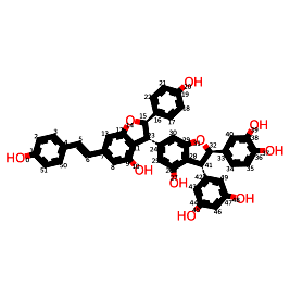 Oc1ccc(/C=C/c2cc(O)c3c(c2)O[C@@H](c2ccc(O)cc2)[C@@H]3c2cc(O)c3c(c2)O[C@@H](c2ccc(O)c(O)c2)[C@@H]3c2cc(O)cc(O)c2)cc1